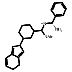 CNC(N[C@@H](N)c1ccccc1)C1CCCC(C2C=C3C=CCCC3=C2)C1